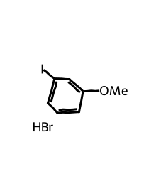 Br.COc1cccc(I)c1